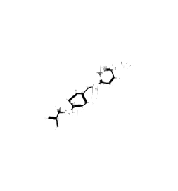 C=C(C)C(=O)Nc1ccc(CNc2ccc(OC)nn2)cc1